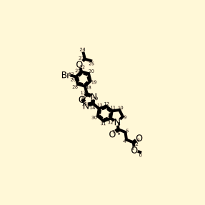 COC(=O)CCC(=O)N1CCc2cc(-c3noc(-c4ccc(OC(C)C)c(Br)c4)n3)ccc21